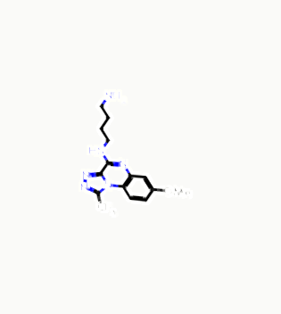 COc1ccc2c(c1)nc(NCCCCN)c1nnc(C(F)(F)F)n12